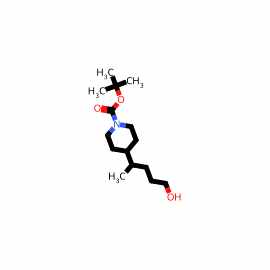 CC(CCCO)C1CCN(C(=O)OC(C)(C)C)CC1